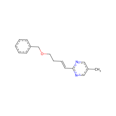 Cc1cnc(C=CCCOCc2ccccc2)nc1